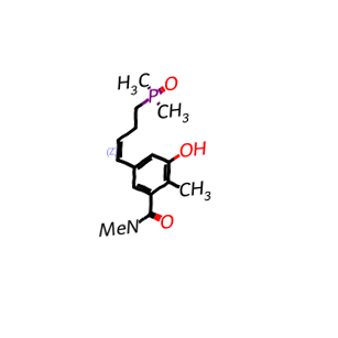 CNC(=O)c1cc(/C=C\CCP(C)(C)=O)cc(O)c1C